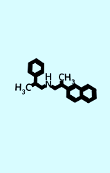 CC(CNCC(C)c1ccc2ccccc2c1)c1ccccc1